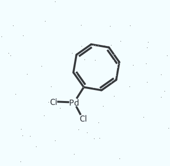 [Cl][Pd]([Cl])[C]1=CC=CC=CC=C1